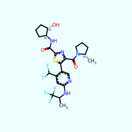 CC(Nc1cc(C(F)F)c(-c2sc(C(=O)N[C@H]3CCC[C@@H]3O)nc2C(=O)N2CCC[C@@H]2C)cn1)C(F)(F)F